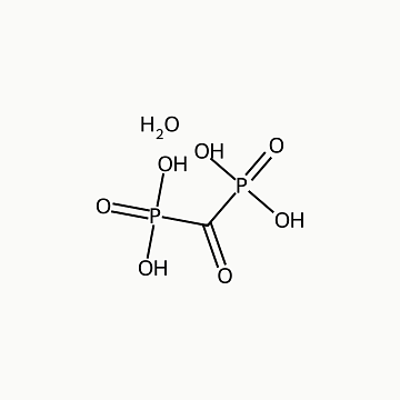 O.O=C(P(=O)(O)O)P(=O)(O)O